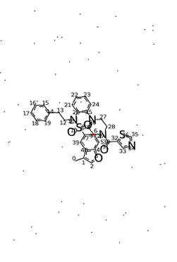 Cc1coc2ccc(S(=O)(=O)N(CCc3ccccc3)c3ccccc3N3CCN(C(=O)c4cncs4)CC3)cc12